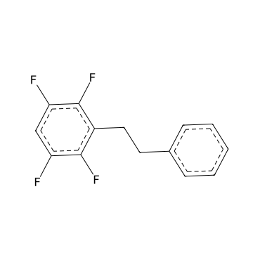 Fc1cc(F)c(F)c(CCc2ccccc2)c1F